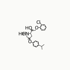 CC(C)c1ccc(O[C@H]2CNC([C@@H](O)COc3ccccc3Cl)C2)cc1.Cl